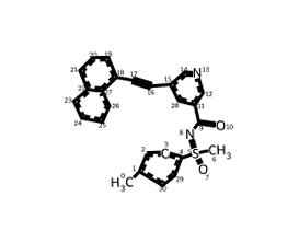 Cc1ccc(S(C)(=O)=NC(=O)c2cncc(C#Cc3cccc4ccccc34)c2)cc1